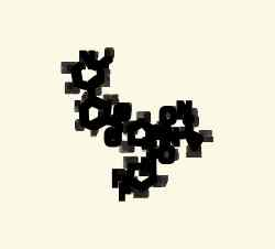 Cc1cc(-c2cccc(S(=O)(=O)[C@@H]3C[C@@H](C(=O)NC4(C#N)CC4)[C@H](C(=O)N4CCC(F)(F)C4)C3)c2)ccn1